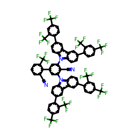 N#Cc1cccc(C(F)(F)F)c1-c1cc(-n2c3ccc(-c4ccc(C(F)(F)F)cc4C(F)(F)F)cc3c3cc(-c4ccc(C(F)(F)F)cc4C(F)(F)F)ccc32)c(C#N)c(-n2c3ccc(-c4ccc(C(F)(F)F)cc4C(F)(F)F)cc3c3cc(-c4ccc(C(F)(F)F)cc4C(F)(F)F)ccc32)c1